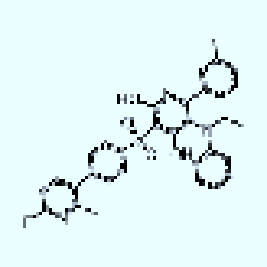 CCN(c1ccccc1)c1c(-c2cccc(C)c2)nc(O)c(S(=O)(=O)c2ccc(-c3ccc(F)nc3C)cc2)c1O